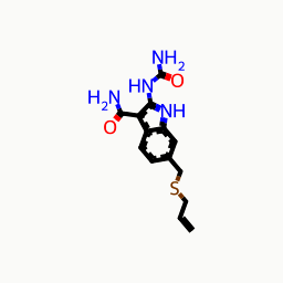 C=CCSCc1ccc2c(C(N)=O)c(NC(N)=O)[nH]c2c1